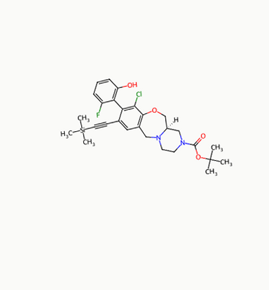 CC(C)(C)OC(=O)N1CCN2Cc3cc(C#C[Si](C)(C)C)c(-c4c(O)cccc4F)c(Cl)c3OC[C@H]2C1